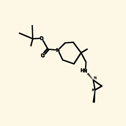 C[C@@H]1C[C@H]1NCC1(C)CCN(C(=O)OC(C)(C)C)CC1